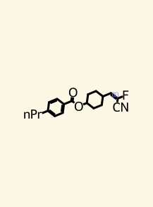 CCCc1ccc(C(=O)OC2CCC(/C=C(/F)C#N)CC2)cc1